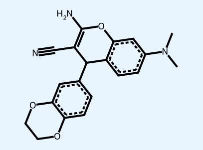 CN(C)c1ccc2c(c1)OC(N)=C(C#N)C2c1ccc2c(c1)OCCO2